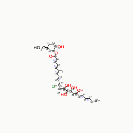 CC(/C=C/C=C/C(=O)O[C@@H]1C[C@@H](C(=O)O)CC[C@@H]1O)=C\C=C\C=C(/Cl)[C@@H](C)[C@@H](O)[C@H](O)[C@H](O)C[C@@H](O)/C=C/C=C/CC(C)C